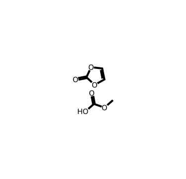 COC(=O)O.O=c1occo1